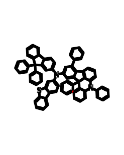 c1ccc(-c2cc(N(c3ccc4c(c3)C(c3ccccc3)(c3ccccc3)c3ccccc3-4)c3ccc4c(c3)sc3ccccc34)cc3c2-c2cccc4c2C3(c2ccccc2)c2ccccc2N4c2ccccc2)cc1